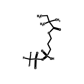 CCC(C)(C)C(=O)OCCCS(=O)(O)=NS(=O)(=O)C(F)(F)F